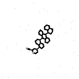 N#Cc1cc(-c2cccc3c(-c4c5ccccc5c(-c5cccc6ccccc56)c5ccccc45)cccc23)ccn1